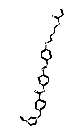 C=CC(=O)OCCCCOc1ccc(/N=N/c2ccc(OC(=O)c3ccc(C[n+]4ccn(C=C)c4)cc3)cc2)cc1